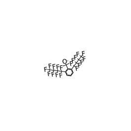 CC(C)([O])c1c(C(F)(F)C(F)(F)C(F)(F)C(F)(F)F)cccc1C(F)(F)C(F)(F)C(F)(F)C(F)(F)F